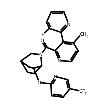 Cc1ccnc(C(=O)N2CC3CCC2C(Oc2ccc(C(F)(F)F)cn2)C3)c1-c1ncccc1F